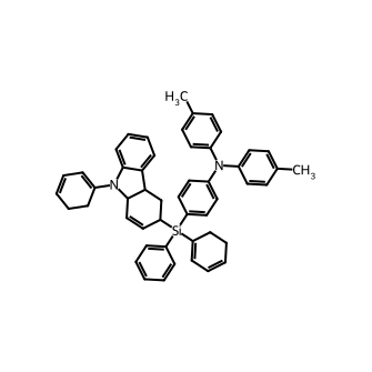 Cc1ccc(N(c2ccc(C)cc2)c2ccc([Si](C3=CC=CCC3)(c3ccccc3)C3C=CC4C(C3)c3ccccc3N4C3=CC=CCC3)cc2)cc1